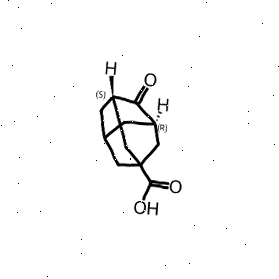 O=C1[C@@H]2CC3C[C@H]1CC(C(=O)O)(C3)C2